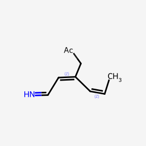 C/C=C\C(=C/C=N)CC(C)=O